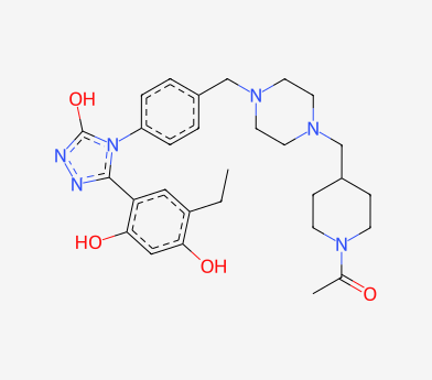 CCc1cc(-c2nnc(O)n2-c2ccc(CN3CCN(CC4CCN(C(C)=O)CC4)CC3)cc2)c(O)cc1O